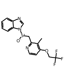 Cc1c(OCC(F)(F)F)ccnc1C[S+]([O-])n1cnc2ccccc21